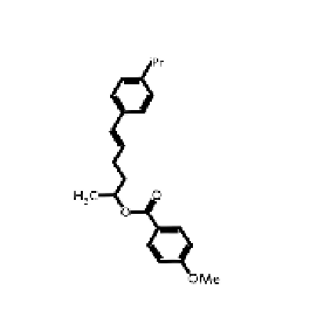 COc1ccc(C(=O)OC(C)CCC=Cc2ccc(C(C)C)cc2)cc1